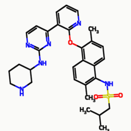 Cc1ccc2c(Oc3ncccc3-c3ccnc(NC4CCCNC4)n3)c(C)ccc2c1NS(=O)(=O)CC(C)C